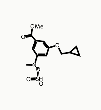 COC(=O)c1cc(OCC2CC2)cc(N(C)O[SH](=O)=O)c1